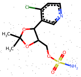 CC1(C)OC(COS(N)(=O)=O)C(c2cnccc2Cl)O1